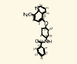 N#Cc1ccc(OC2CCC(NC(=O)c3ccccc3)CC2)c2cccnc12